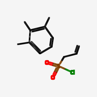 C=CCS(=O)(=O)Cl.Cc1cccc(C)c1C